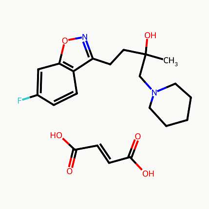 CC(O)(CCc1noc2cc(F)ccc12)CN1CCCCC1.O=C(O)/C=C/C(=O)O